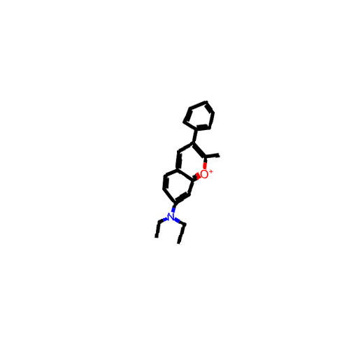 CCN(CC)c1ccc2cc(-c3ccccc3)c(C)[o+]c2c1